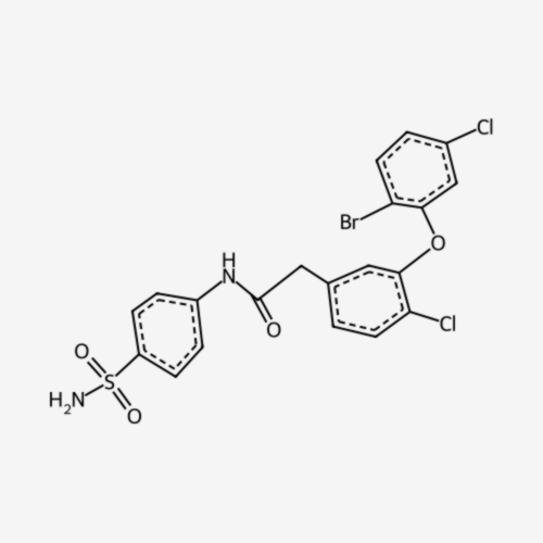 NS(=O)(=O)c1ccc(NC(=O)Cc2ccc(Cl)c(Oc3cc(Cl)ccc3Br)c2)cc1